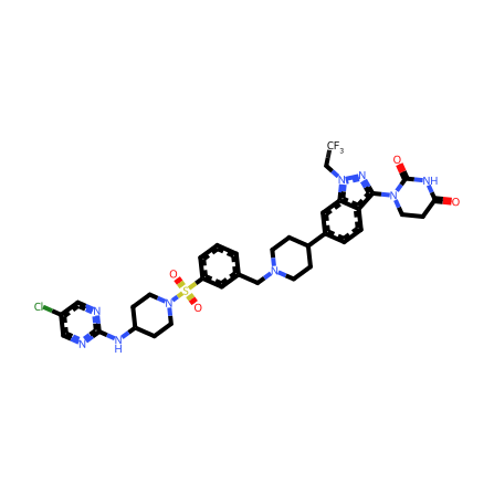 O=C1CCN(c2nn(CC(F)(F)F)c3cc(C4CCN(Cc5cccc(S(=O)(=O)N6CCC(Nc7ncc(Cl)cn7)CC6)c5)CC4)ccc23)C(=O)N1